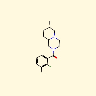 COc1cccc(C(=O)N2CCN3C[C@H](C)CC[C@@H]3C2)c1Cl